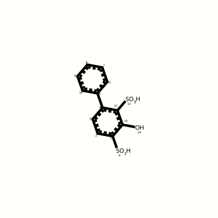 O=S(=O)(O)c1ccc(-c2ccccc2)c(S(=O)(=O)O)c1O